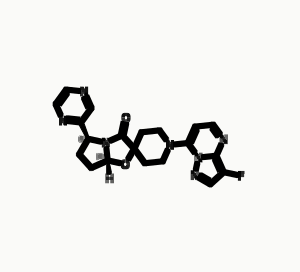 O=C1N2[C@@H](CC[C@H]2c2cnccn2)OC12CCN(c1ccnc3c(F)cnn13)CC2